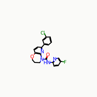 O=C(Nc1ccc(F)cn1)N1CCCOc2ccc(-c3cccc(Cl)c3)nc21